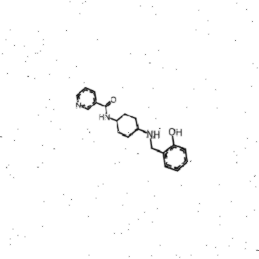 O=C(NC1CCC(NCc2ccccc2O)CC1)c1cccnc1